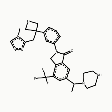 CC(c1cc2c(c(C(F)(F)F)c1)CN(c1cccc(C3(Cc4nncn4C)COC3)c1)C2=O)N1CCNCC1